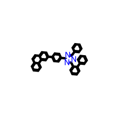 c1ccc(-c2nc(-c3ccc(-c4ccc5ccc6ccccc6c5c4)cc3)nc(-c3ccccc3-c3ccccc3)n2)cc1